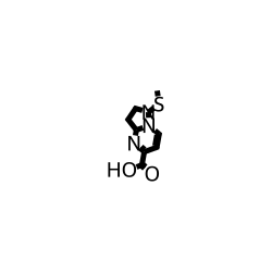 CSN1CCC2N=C(C(=O)O)C=CN21